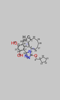 C=C1/C=C\C(n2c(OCC3CCCC3)nnc2-c2cc(C(C)C)c(O)cc2O)=C/CCCC1